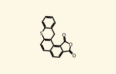 O=C1OC(=O)c2c1ccc1ccc3c(c21)Cc1ccccc1S3